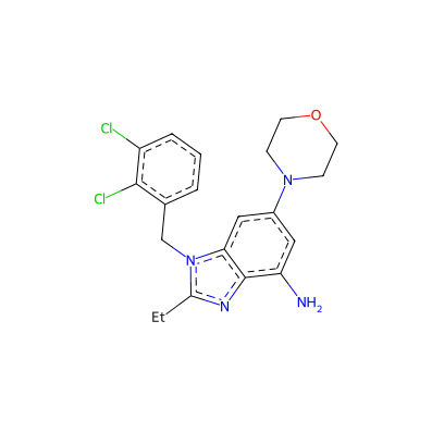 CCc1nc2c(N)cc(N3CCOCC3)cc2n1Cc1cccc(Cl)c1Cl